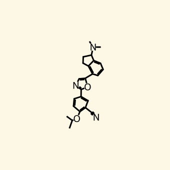 CC(C)Oc1ccc(-c2ncc(-c3cccc4c3CCC4N(C)C)o2)cc1C#N